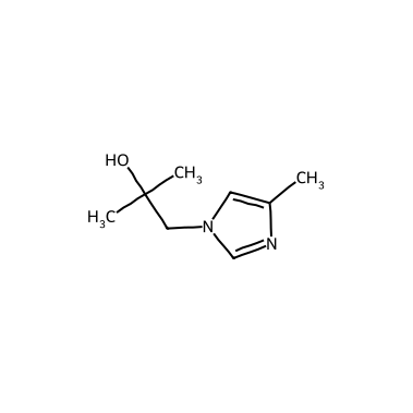 Cc1cn(CC(C)(C)O)cn1